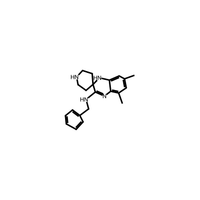 Cc1cc(C)c2c(c1)NC1(CCNCC1)C(NCc1ccccc1)=N2